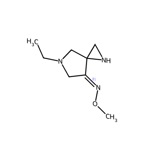 CCN1C/C(=N\OC)C2(CN2)C1